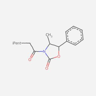 CCCC(C)CC(=O)N1C(=O)OC(c2ccccc2)C1C